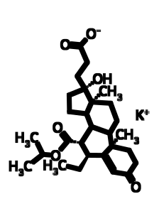 CC[C@@H]1C2=CC(=O)CC[C@]2(C)C2CC[C@@]3(C)C(CC[C@@]3(O)CCC(=O)[O-])C2[C@H]1C(=O)OC(C)C.[K+]